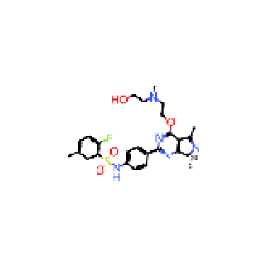 CC1=CC=C(F)C(S(=O)(=O)Nc2ccc(C3=NC4C(C(C)=N[C@@H]4C)C(OCCN(C)CCO)=N3)cc2)C1